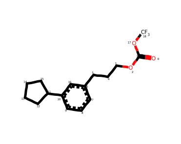 O=C(OCCCc1cccc(C2CCCC2)c1)OC(F)(F)F